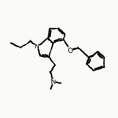 CCCn1cc(CCN(C)C)c2c(OCc3ccccc3)cccc21